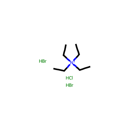 Br.Br.CC[N+](CC)(CC)CC.Cl